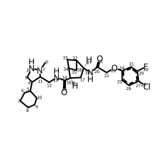 CN1NCC(C2CCCCC2)C1CNC(=O)[C@@H]1C[C@H](NC(=O)COc2ccc(Cl)c(F)c2)C2CC1C2